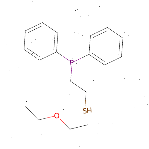 CCOCC.SCCP(c1ccccc1)c1ccccc1